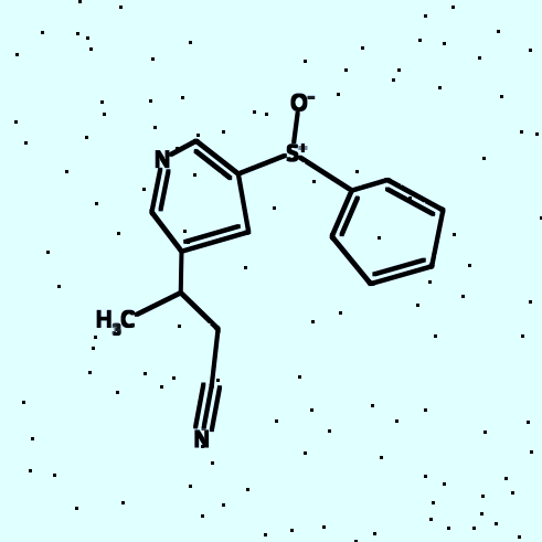 CC(CC#N)c1cncc([S+]([O-])c2ccccc2)c1